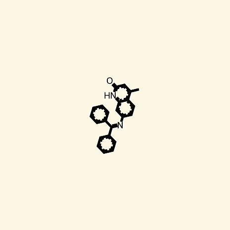 Cc1cc(=O)[nH]c2cc(N=C(c3ccccc3)c3ccccc3)ccc12